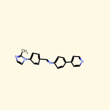 Cc1nccn1-c1ccc(/C=N/c2ccc(-c3ccncc3)cc2)cc1